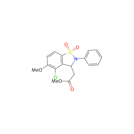 COC(=O)CC1c2c(ccc(OC)c2Cl)S(=O)(=O)N1c1ccccc1